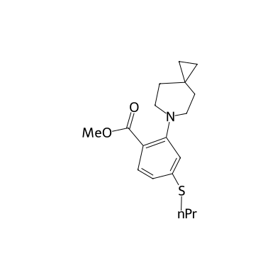 CCCSc1ccc(C(=O)OC)c(N2CCC3(CC2)CC3)c1